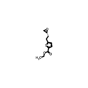 CCOC(=O)c1ccc(CC[C@@H]2CO2)s1